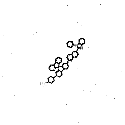 CC1=CCC(C2C=C3C(=CC2)c2ccc(-c4ccc5cc(-c6nc7ccccc7n6-c6ccccc6)ccc5c4)cc2C32c3ccccc3-c3ccccc32)C=C1